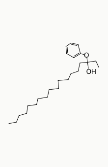 CCCCCCCCCCCCCCCC(O)(CC)Oc1ccccc1